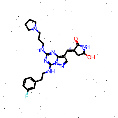 O=C1NC(O)C/C1=C\c1cnn2c(NCCc3cccc(F)c3)nc(NCCCN3CCCC3)nc12